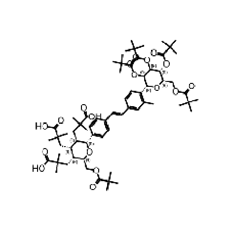 Cc1cc(C=Cc2ccc([C@@H]3O[C@@H](COC(=O)C(C)(C)C)[C@H](CC(C)(C)C(=O)O)[C@H](CC(C)(C)C(=O)O)[C@H]3CC(C)(C)C(=O)O)cc2)ccc1[C@H]1O[C@H](COC(=O)C(C)(C)C)[C@@H](OC(=O)C(C)(C)C)[C@H](OC(=O)C(C)(C)C)[C@@H]1OC(=O)C(C)(C)C